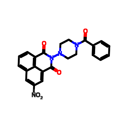 O=C(c1ccccc1)N1CCN(N2C(=O)c3cccc4cc([N+](=O)[O-])cc(c34)C2=O)CC1